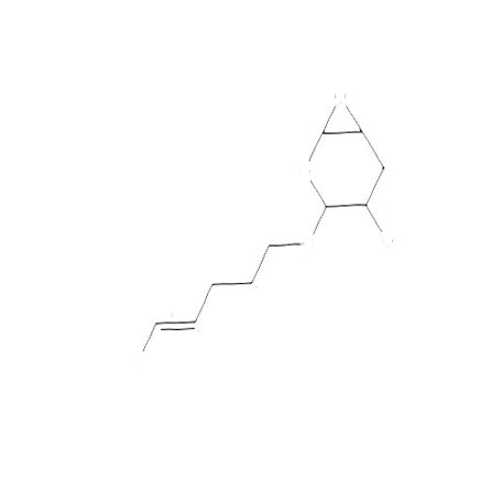 C/C=C/CCCOC1OC2OC2CC1O